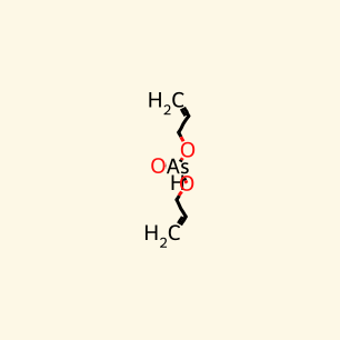 C=CCO[AsH](=O)OCC=C